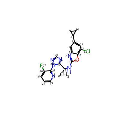 C[C@H](Nc1nc2cc(C3CC3)cc(Cl)c2o1)c1ncnn1-c1ncccc1F